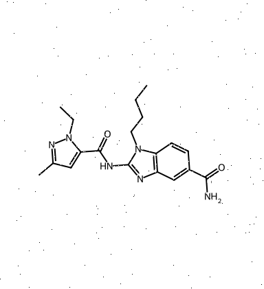 CCCCn1c(NC(=O)c2cc(C)nn2CC)nc2cc(C(N)=O)ccc21